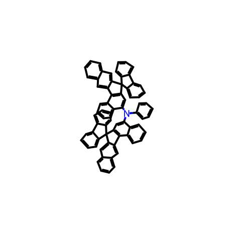 c1ccc(N(c2cc3c(c4ccccc24)-c2cc4ccccc4cc2C32c3ccccc3-c3ccccc32)c2cc3c(c4ccccc24)-c2cc4ccccc4cc2C32c3ccccc3-c3ccccc32)cc1